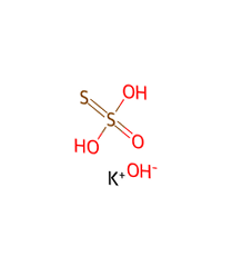 O=S(O)(O)=S.[K+].[OH-]